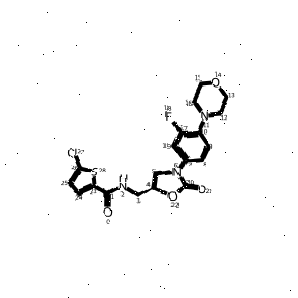 O=C(NC[C@H]1CN(c2ccc(N3CCOCC3)c(F)c2)C(=O)O1)c1ccc(Cl)s1